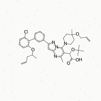 C=CCOC1(C)CCN(c2c(C(OC(C)(C)C)C(=O)O)c(C)nc3cc(-c4cccc(-c5c(Cl)cccc5OC(C)CC=C)c4)nn23)CC1